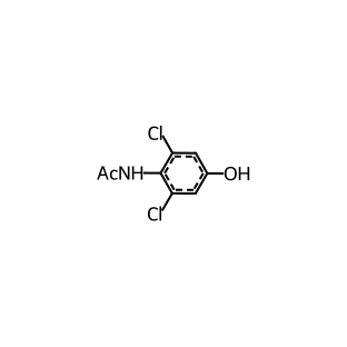 CC(=O)Nc1c(Cl)cc(O)cc1Cl